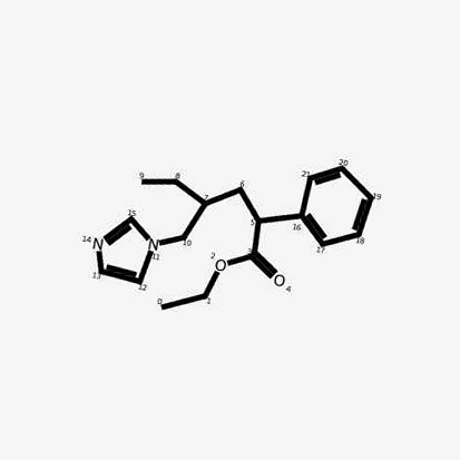 CCOC(=O)C(CC(CC)Cn1ccnc1)c1ccccc1